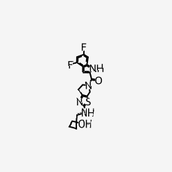 O=C(c1cc2c(F)cc(F)cc2[nH]1)N1CCc2nc(NCC3(O)CCC3)sc2C1